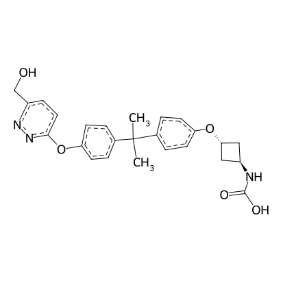 CC(C)(c1ccc(Oc2ccc(CO)nn2)cc1)c1ccc(O[C@H]2C[C@H](NC(=O)O)C2)cc1